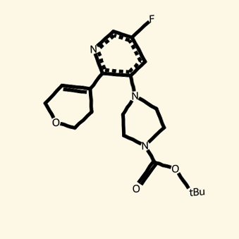 CC(C)(C)OC(=O)N1CCN(c2cc(F)cnc2C2=CCOCC2)CC1